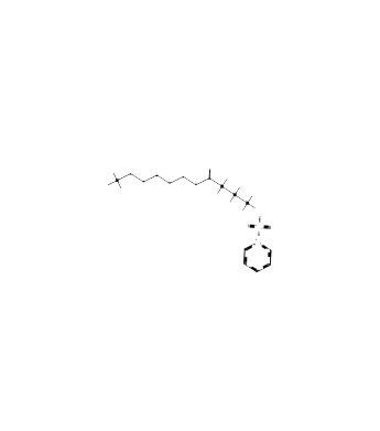 O=S(=O)(OC(F)(F)C(F)(F)C(F)(F)C(F)CCCCCCC(F)(F)F)[n+]1ccccc1